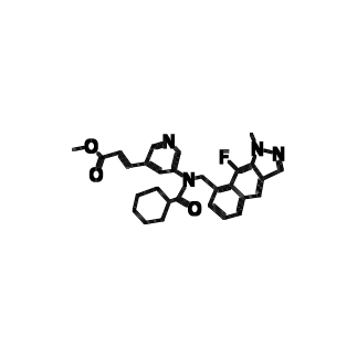 COC(=O)/C=C/c1cncc(N(Cc2cccc3cc4cnn(C)c4c(F)c23)C(=O)C2CCCCC2)c1